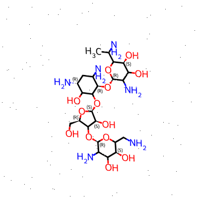 CC(N)C1O[C@H](O[C@@H]2C(N)C[C@@H](N)C(O)C2O[C@@H]2O[C@H](CO)C(O[C@H]3OC(CN)[C@@H](O)C(O)C3N)[C@@H]2O)C(N)C(O)[C@@H]1O